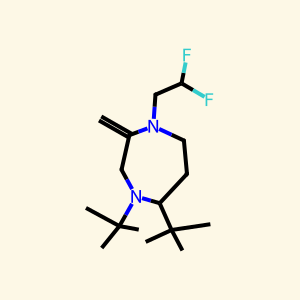 C=C1CN(C(C)(C)C)C(C(C)(C)C)CCN1CC(F)F